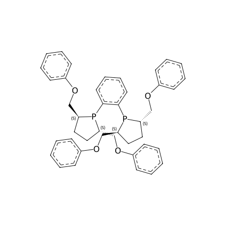 c1ccc(OC[C@@H]2CC[C@@H](COc3ccccc3)P2c2ccccc2P2[C@H](COc3ccccc3)CC[C@H]2COc2ccccc2)cc1